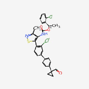 Cc1nsc(-c2ccc(-c3ccc(C4(C=O)CC4)cc3)cc2Cl)c1NC(=O)O[C@H](C)c1ccccc1Cl